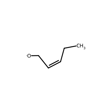 CC/C=C\C[O]